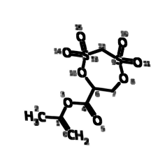 C=C(C)OC(=O)C1COS(=O)(=O)CS(=O)(=O)O1